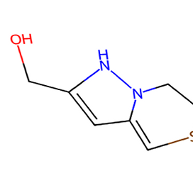 OCC1=CC2=CSCCN2N1